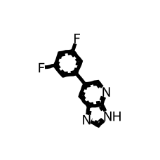 Fc1cc(F)cc(-c2cnc3[nH]cnc3c2)c1